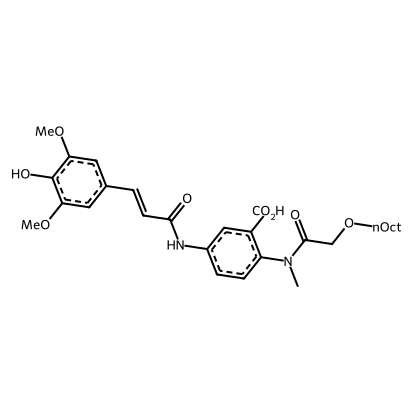 CCCCCCCCOCC(=O)N(C)c1ccc(NC(=O)C=Cc2cc(OC)c(O)c(OC)c2)cc1C(=O)O